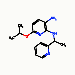 CC(C)Oc1ccc(N)c(NC(C)c2ccccn2)n1